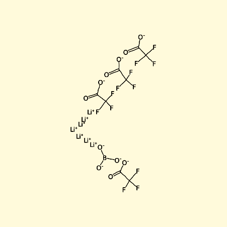 O=C([O-])C(F)(F)F.O=C([O-])C(F)(F)F.O=C([O-])C(F)(F)F.O=C([O-])C(F)(F)F.[Li+].[Li+].[Li+].[Li+].[Li+].[Li+].[Li+].[O-]B([O-])[O-]